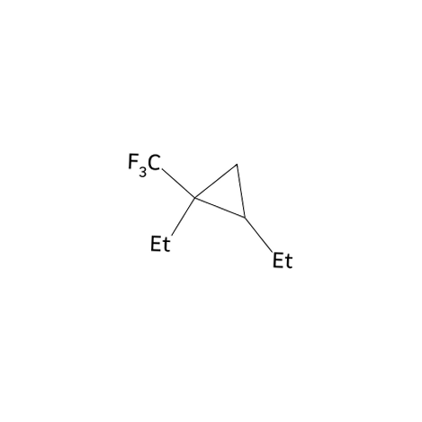 CCC1CC1(CC)C(F)(F)F